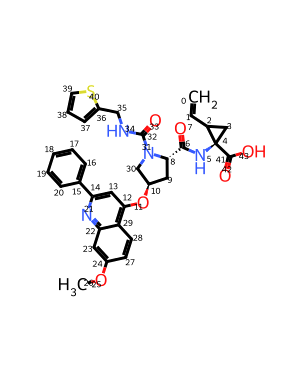 C=CC1C[C@]1(NC(=O)[C@@H]1C[C@@H](Oc2cc(-c3ccccc3)nc3cc(OC)ccc23)CN1C(=O)NCc1cccs1)C(=O)O